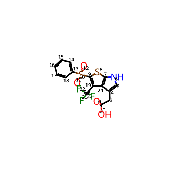 O=C(O)Cc1c[nH]c2sc(S(=O)(=O)c3ccccc3)c(C(F)(F)F)c12